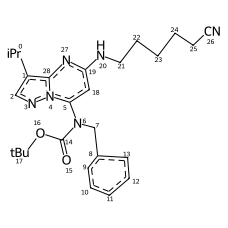 CC(C)c1cnn2c(N(Cc3ccccc3)C(=O)OC(C)(C)C)cc(NCCCCCC#N)nc12